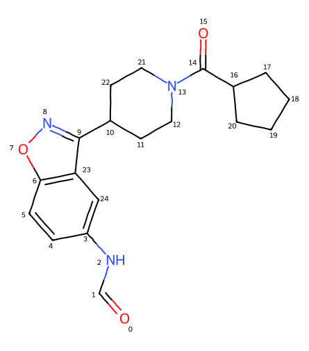 O=CNc1ccc2onc(C3CCN(C(=O)C4CCCC4)CC3)c2c1